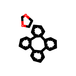 C1COCO1.c1ccc2c(c1)-c1ccccc1-c1ccccc1-c1ccccc1-2